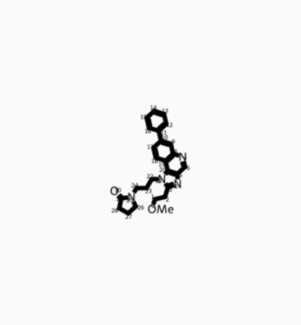 COCCc1nc2cnc3cc(-c4ccccc4)ccc3c2n1CCCN1CCCC1=O